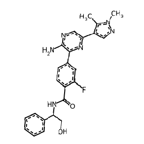 Cc1c(-c2cnc(N)c(-c3ccc(C(=O)NC(CO)c4ccccc4)c(F)c3)n2)cnn1C